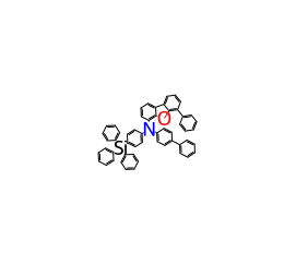 c1ccc(-c2ccc(N(c3ccc([Si](c4ccccc4)(c4ccccc4)c4ccccc4)cc3)c3cccc4c3oc3c(-c5ccccc5)cccc34)cc2)cc1